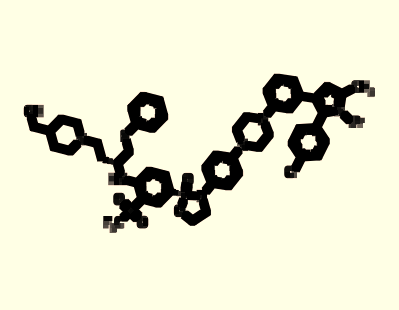 Cc1cc(-c2cccc(N3CCN(c4ccc(N5CCO[P@]5(=O)c5ccc(N[C@H](CCN6CCC(CO)CC6)CSc6ccccc6)c(S(=O)(=O)C(F)(F)F)c5)cc4)CC3)c2)c(-c2ccc(Cl)cc2)n1C(C)C